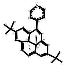 CC(C)(C)C1=CC2=CC=C3C=C(C(C)(C)C)C=C4C(c5ccncc5)=CC(=C1)[C@@]2(C)[C@@]34C